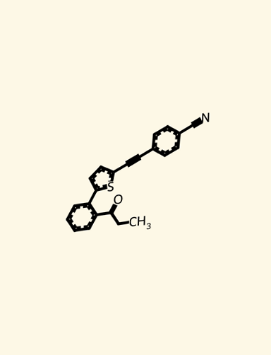 CCC(=O)c1ccccc1-c1ccc(C#Cc2ccc(C#N)cc2)s1